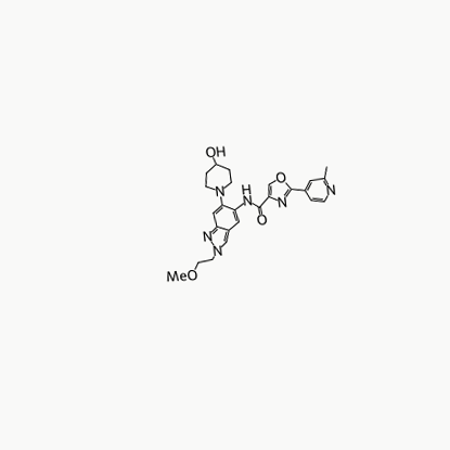 COCCn1cc2cc(NC(=O)c3coc(-c4ccnc(C)c4)n3)c(N3CCC(O)CC3)cc2n1